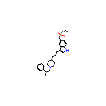 CNS(=O)(=O)Cc1ccc2[nH]cc(CCCC3CCN(CC(C)c4ccccc4)CC3)c2c1